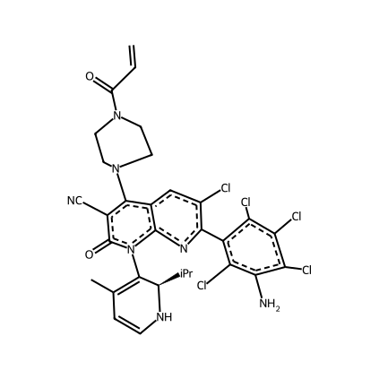 C=CC(=O)N1CCN(c2c(C#N)c(=O)n(C3=C(C)C=CN[C@@H]3C(C)C)c3nc(-c4c(Cl)c(N)c(Cl)c(Cl)c4Cl)c(Cl)cc23)CC1